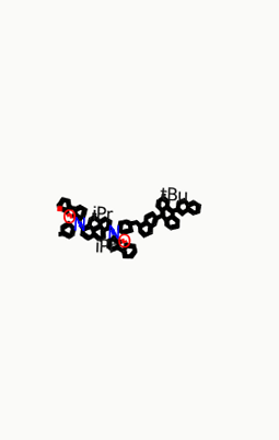 Cc1ccc(N(c2ccc3c(C(C)C)cc4c(N(c5ccc(Cc6cccc7cc(-c8c9ccccc9c(-c9ccc%10ccccc%10c9)c9cc(C(C)(C)C)ccc89)ccc67)cc5)c5cccc6c5oc5ccccc56)ccc5c(C(C)C)cc2c3c54)c2cccc3c2oc2ccccc23)cc1